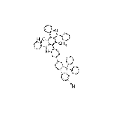 Cc1c2c(-c3ccccc3)nc3cc(-c4ccc5c(c4)C(c4ccccc4)(c4ccccc4)c4cc(C#N)ccc4-5)ccc3c2c(C)c2c(-c3ccccc3)nc3ccccc3c12